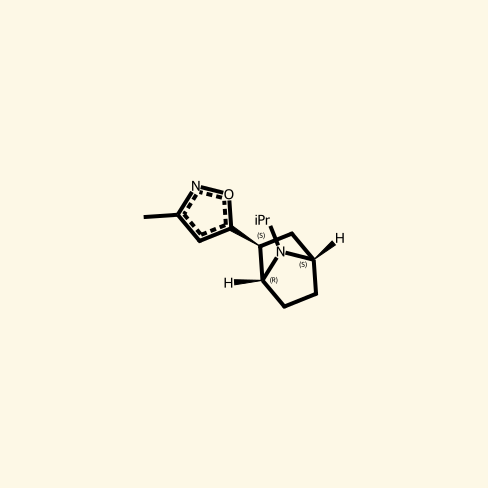 Cc1cc([C@H]2C[C@@H]3CC[C@H]2N3C(C)C)on1